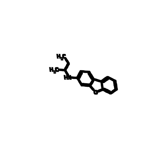 CCC(C)Nc1ccc2c(c1)oc1ccccc12